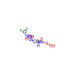 O=C(NCCOCCO)c1cc2cc(N3CCC(O)(C(=O)NCc4cc(F)cc(F)c4)C3=O)ccc2[nH]1